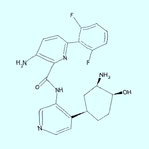 Nc1ccc(-c2c(F)cccc2F)nc1C(=O)Nc1cnccc1[C@@H]1CC[C@H](O)[C@H](N)C1